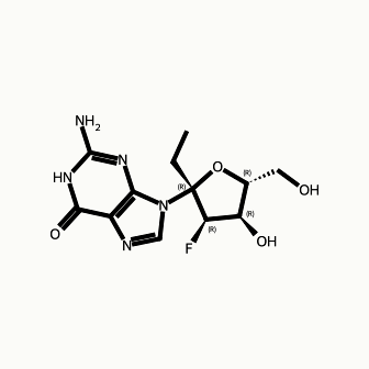 CC[C@@]1(n2cnc3c(=O)[nH]c(N)nc32)O[C@H](CO)[C@@H](O)[C@H]1F